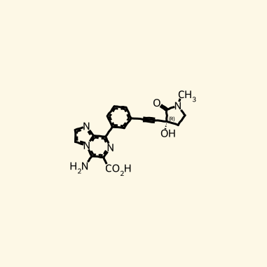 CN1CC[C@@](O)(C#Cc2cccc(-c3nc(C(=O)O)c(N)n4ccnc34)c2)C1=O